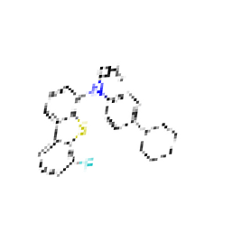 CN(c1ccc(C2CCCCC2)cc1)c1cccc2c1sc1c(F)cccc12